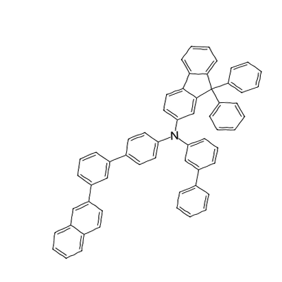 c1ccc(-c2cccc(N(c3ccc(-c4cccc(-c5ccc6ccccc6c5)c4)cc3)c3ccc4c(c3)C(c3ccccc3)(c3ccccc3)c3ccccc3-4)c2)cc1